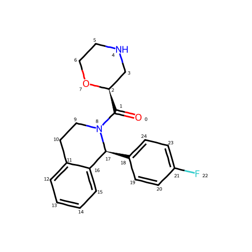 O=C([C@@H]1CNCCO1)N1CCc2ccccc2[C@@H]1c1ccc(F)cc1